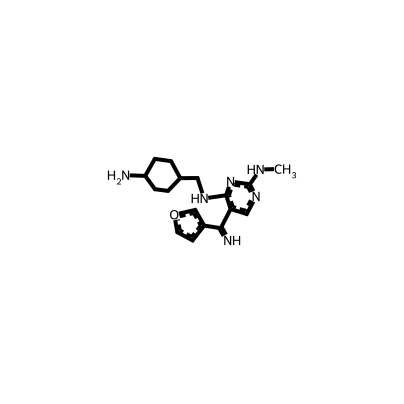 CNc1ncc(C(=N)c2ccoc2)c(NCC2CCC(N)CC2)n1